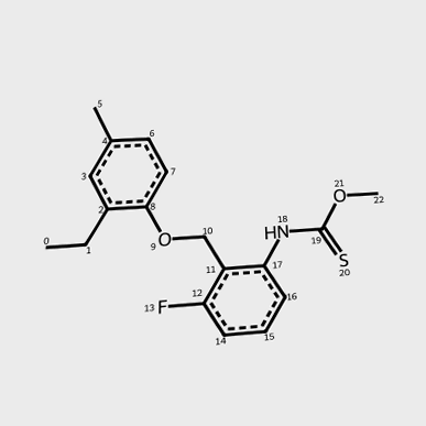 CCc1cc(C)ccc1OCc1c(F)cccc1NC(=S)OC